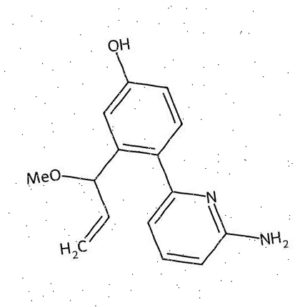 C=CC(OC)c1cc(O)ccc1-c1cccc(N)n1